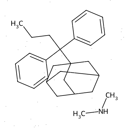 CCCC(c1ccccc1)(c1ccccc1)C12CC3CC(CC(C3)C1)C2.CNC